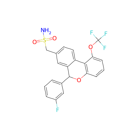 NS(=O)(=O)Cc1ccc2c(c1)C(c1cccc(F)c1)Oc1cccc(OC(F)(F)F)c1-2